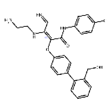 N=C/C(NCCN)=C(/Oc1ccc(-c2ccccc2CO)cc1)C(=O)Nc1ccc(Cl)cc1